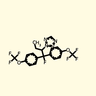 CCC(n1ncnn1)C(F)(c1ccc(OC(F)(F)F)cc1)c1ccc(OC(F)(F)F)cc1